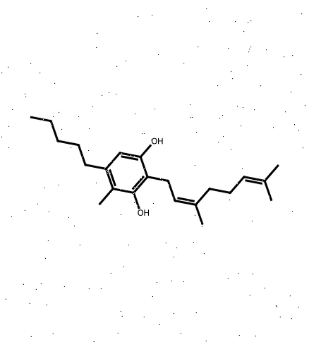 CCCCCc1cc(O)c(CC=C(C)CCC=C(C)C)c(O)c1C